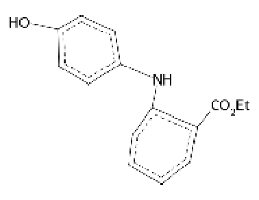 CCOC(=O)c1ccccc1Nc1ccc(O)cc1